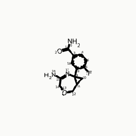 NC(=O)c1ccc(F)c(C23CC2COCC(N)=N3)c1